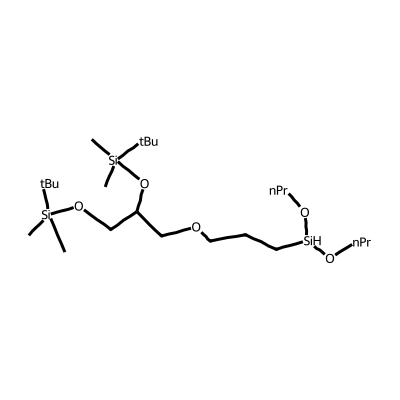 CCCO[SiH](CCCOCC(CO[Si](C)(C)C(C)(C)C)O[Si](C)(C)C(C)(C)C)OCCC